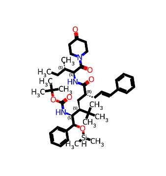 CC[C@H](C)[C@H](NC(=O)[C@H](CC=Cc1ccccc1)C[C@H]([C@H](NC(=O)OC(C)(C)C)C(O[SiH](C)C)c1ccccc1)C(C)(C)C)C(=O)N1CCC(=O)CC1